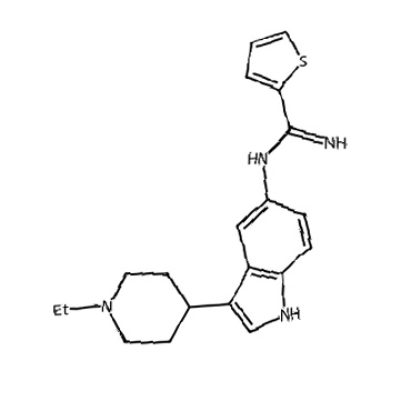 CCN1CCC(c2c[nH]c3ccc(NC(=N)c4cccs4)cc23)CC1